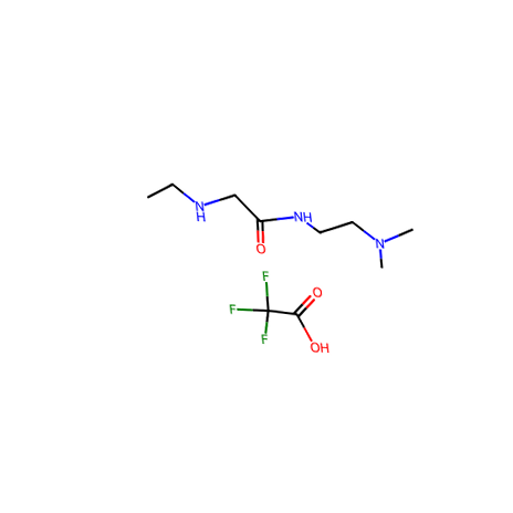 CCNCC(=O)NCCN(C)C.O=C(O)C(F)(F)F